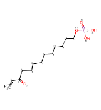 C=CC(=O)CCCCCCCCCCOP(=O)(O)O